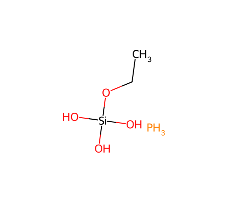 CCO[Si](O)(O)O.P